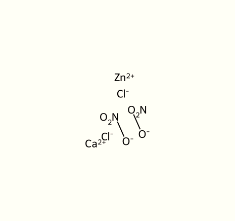 O=[N+]([O-])[O-].O=[N+]([O-])[O-].[Ca+2].[Cl-].[Cl-].[Zn+2]